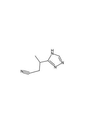 CC(CC#N)c1nnc[nH]1